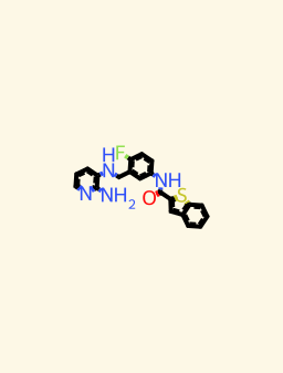 Nc1ncccc1NCc1cc(NC(=O)c2cc3ccccc3s2)ccc1F